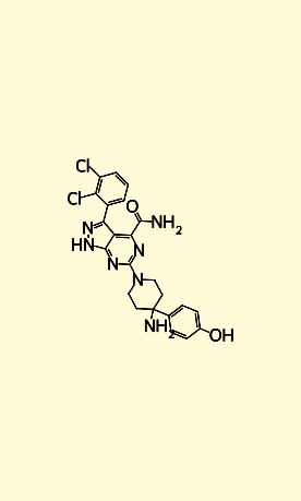 NC(=O)c1nc(N2CCC(N)(c3ccc(O)cc3)CC2)nc2[nH]nc(-c3cccc(Cl)c3Cl)c12